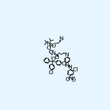 COc1ccc(C(OC[C@@H]2C[C@@H](OP(OCCC#N)N(C(C)C)C(C)C)CN2C(=O)CCCN(C)c2ccc(N=Nc3ccc([N+](=O)[O-])cc3Cl)cc2)(c2ccccc2)c2ccc(OC)cc2)cc1